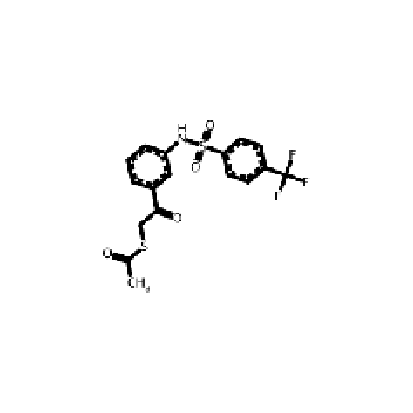 CC(=O)SCC(=O)c1cccc(NS(=O)(=O)c2ccc(C(F)(F)F)cc2)c1